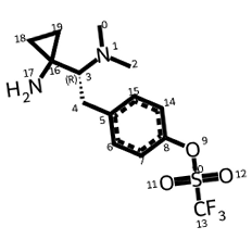 CN(C)[C@H](Cc1ccc(OS(=O)(=O)C(F)(F)F)cc1)C1(N)CC1